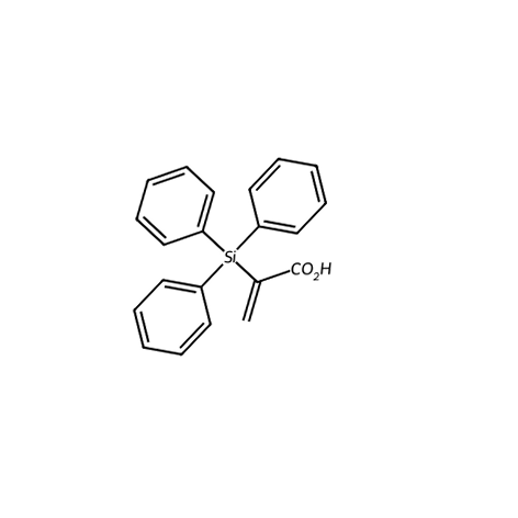 C=C(C(=O)O)[Si](c1ccccc1)(c1ccccc1)c1ccccc1